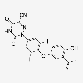 C=C(C)c1cc(Oc2c(I)cc(-n3nc(C#N)c(=O)[nH]c3=O)cc2I)ccc1O